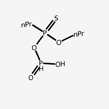 [CH2]CCP(=S)(OCCC)O[PH](=O)O